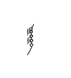 CCCCCCCC1CC=C(c2ccc(-c3ccc(-c4ccc(OCCCC)c(F)c4F)cc3)c(F)c2F)CC1